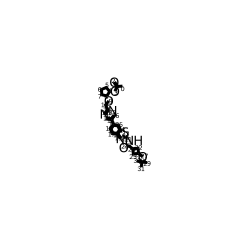 CC(=O)OC1CCCC1OCc1ncc(-c2ccc3nc(NC(=O)C4CC(OC(C)(C)C)C4)sc3c2)cn1